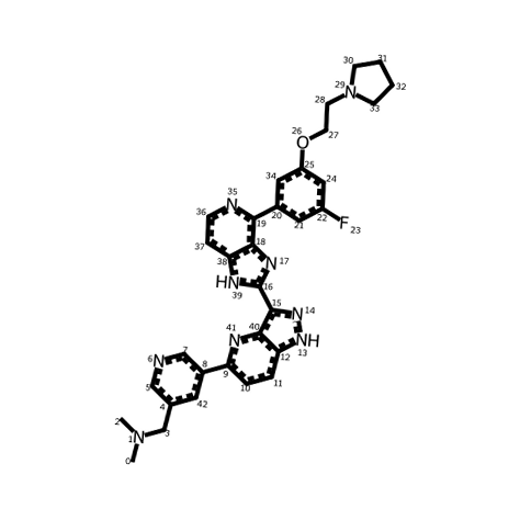 CN(C)Cc1cncc(-c2ccc3[nH]nc(-c4nc5c(-c6cc(F)cc(OCCN7CCCC7)c6)nccc5[nH]4)c3n2)c1